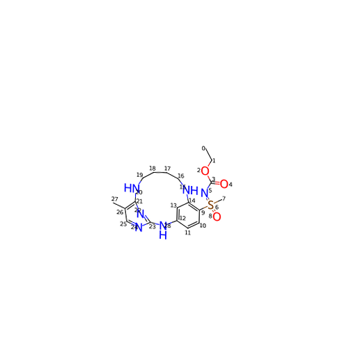 CCOC(=O)N=S(C)(=O)c1ccc2cc1NCCCCNc1nc(ncc1C)N2